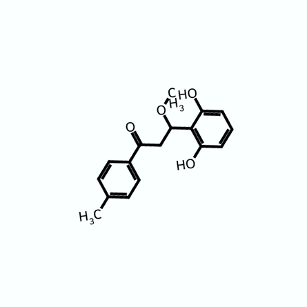 COC(CC(=O)c1ccc(C)cc1)c1c(O)cccc1O